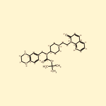 CC(C)(C)OC(=O)N(Cc1ccc2c(c1)OCCO2)C1CCN(CCn2c(=O)ccc3cccnc32)CC1